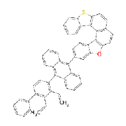 C=Cc1c(-c2ccccc2)ccc(-c2c3ccccc3c(-c3ccc4c(c3)oc3ccc5ccc6sc7ccccc7c6c5c34)c3ccccc23)c1C=C